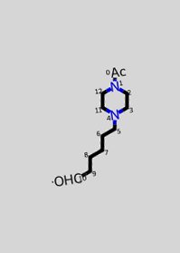 CC(=O)N1CCN(CCCCC[C]=O)CC1